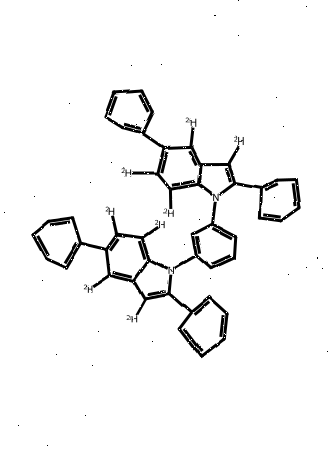 [2H]c1c(-c2ccccc2)c([2H])c2c([2H])c(-c3ccccc3)n(-c3cccc(-n4c(-c5ccccc5)c([2H])c5c([2H])c(-c6ccccc6)c([2H])c([2H])c54)c3)c2c1[2H]